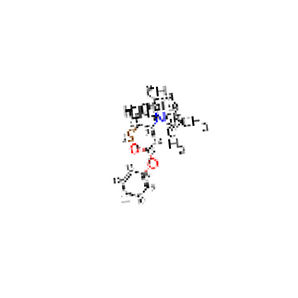 CC(=S)C(=CC(=O)Oc1ccccc1)N1[Si](C)(C)CC[Si]1(C)C